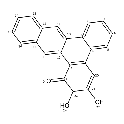 O=C1c2c(c3ccccc3c3cc4ccccc4cc23)C=C(O)C1O